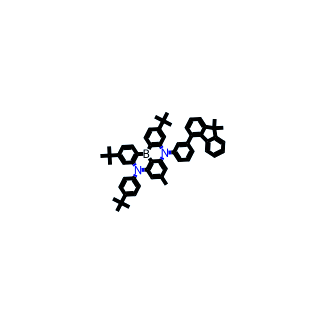 Cc1cc2c3c(c1)N(c1cccc(-c4cccc5c4-c4ccccc4C5(C)C)c1)c1cc(C(C)(C)C)ccc1B3c1ccc(C(C)(C)C)cc1N2c1ccc(C(C)(C)C)cc1